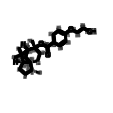 C[C@@H]1CC[C@H]2C(C)(C)[C@H]3C[C@@]12CC[C@@]3(C)OC(=O)c1ccc(OCCO)cc1